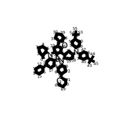 Cc1ccccc1N1c2cc(-c3ccccc3)ccc2B2c3c1cc1c(oc4ccccc41)c3-c1cc(N(c3ccc(C(C)(C)C)cc3)c3ccc(C(C)(C)C)cc3)ccc1N2c1ccc(-c2ccccc2)cc1